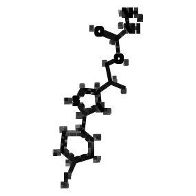 CC(COC(=O)NN)c1csc(-c2ccc(F)cc2)n1